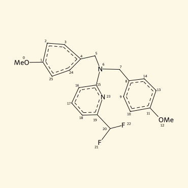 COc1ccc(CN(Cc2ccc(OC)cc2)c2cccc(C(F)F)n2)cc1